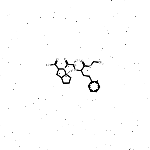 CCOC(=O)C(CCc1ccccc1)N[C@@H](C)C(=O)N1C(C(=O)O)CC2CCC[C@@H]21